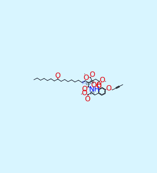 CC#CCOc1ccc(C[C@H](NC(=O)[C@@H](/C=C/CCCCCCC(=O)CCCCCCC)[C@@](O)(CC(=O)OC)C(=O)OC)C(=O)OC)cc1